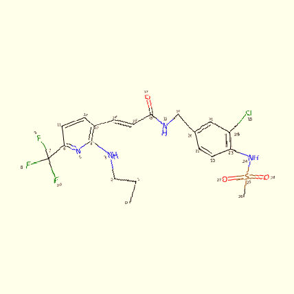 CCCNc1nc(C(F)(F)F)ccc1C=CC(=O)NCc1ccc(NS(C)(=O)=O)c(Cl)c1